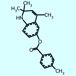 CC1=CC(C)(C)Nc2ccc(OC(=O)c3ccc(C)cc3)cc21